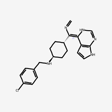 C=N/C(=C1\NC=Nc2[nH]ccc21)[C@H]1CC[C@H](NCc2ccc(Cl)cc2)CC1